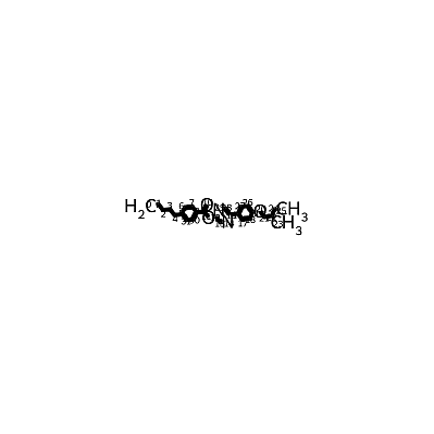 C=CCCCc1ccc(C(=O)Oc2cnc(-c3ccc(OC[C@@H](C)CC)cc3)cn2)cc1